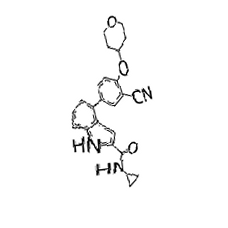 N#Cc1cc(-c2cccc3[nH]c(C(=O)NC4CC4)cc23)ccc1OC1CCOCC1